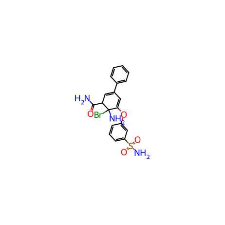 NC(=O)C1C=C(c2ccccc2)C=C(Oc2cccc(S(N)(=O)=O)c2)C1(N)Br